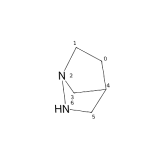 C1CN2CC1CN2